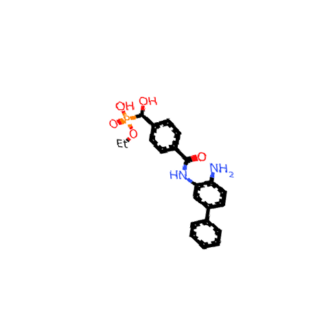 CCOP(=O)(O)C(O)c1ccc(C(=O)Nc2cc(-c3ccccc3)ccc2N)cc1